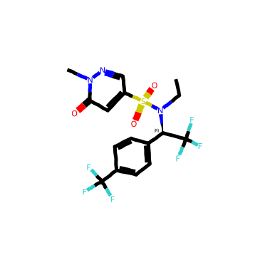 CCN([C@H](c1ccc(C(F)(F)F)cc1)C(F)(F)F)S(=O)(=O)c1cnn(C)c(=O)c1